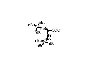 CCCC(C(=O)[O-])C(=O)[O-].CCCC[N+](CCCC)(CCCC)CCCC.CCCC[N+](CCCC)(CCCC)CCCC